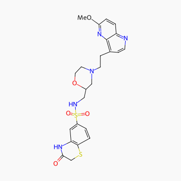 COc1ccc2nccc(CCN3CCOC(CNS(=O)(=O)c4ccc5c(c4)NC(=O)CS5)C3)c2n1